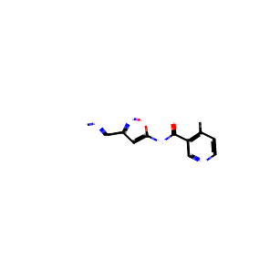 CO/N=C/c1cc(NC(=O)c2cnccc2C(F)(F)F)on1